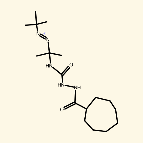 CC(C)(C)/N=N/C(C)(C)NC(=O)NNC(=O)C1CCCCCCC1